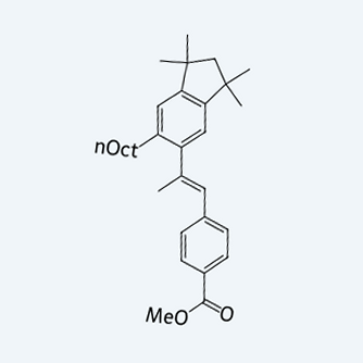 CCCCCCCCc1cc2c(cc1/C(C)=C/c1ccc(C(=O)OC)cc1)C(C)(C)CC2(C)C